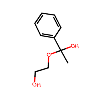 CC(O)(OCCO)c1ccccc1